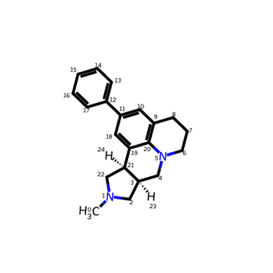 CN1C[C@@H]2CN3CCCc4cc(-c5ccccc5)cc(c43)[C@@H]2C1